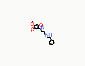 COc1cc2onc(CCCNCCc3ccccc3)c2cc1OC